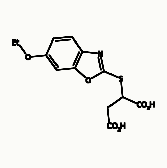 CCOc1ccc2nc(SC(CC(=O)O)C(=O)O)oc2c1